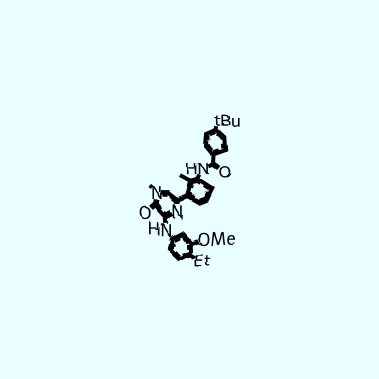 CCc1ccc(Nc2nc(-c3cccc(NC(=O)c4ccc(C(C)(C)C)cc4)c3C)cn(C)c2=O)cc1OC